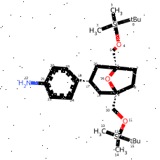 CC(C)(C)[Si](C)(C)OC[C@@]12CC[C@@](CO[Si](C)(C)C(C)(C)C)(C[C@H](c3ccc(N)cc3)C1)O2